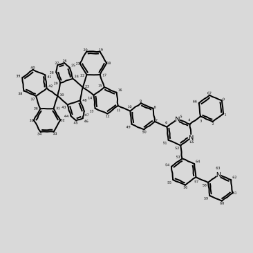 c1ccc(-c2nc(-c3ccc(-c4ccc5c(c4)-c4ccccc4C54c5ccccc5C5(c6ccccc6-c6ccccc65)c5ccccc54)cc3)cc(-c3cccc(-c4ccccn4)c3)n2)cc1